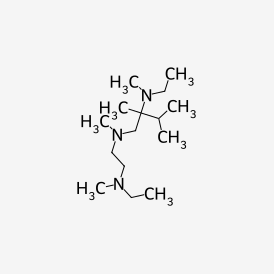 CCN(C)CCN(C)CC(C)(C(C)C)N(C)CC